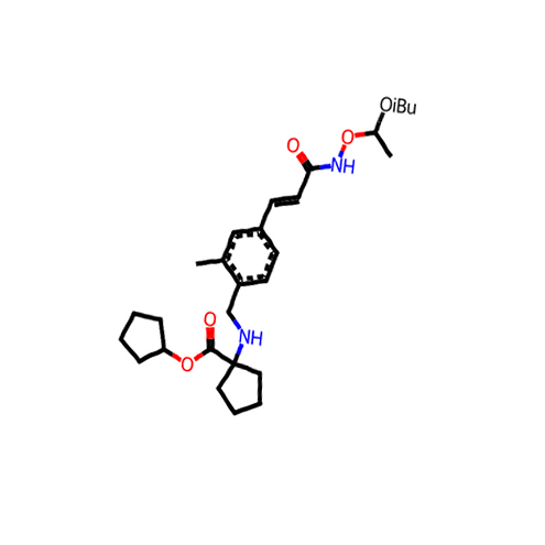 Cc1cc(/C=C/C(=O)NOC(C)OCC(C)C)ccc1CNC1(C(=O)OC2CCCC2)CCCC1